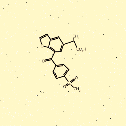 CC(C(=O)O)c1cc(C(=O)c2ccc(S(C)(=O)=O)cc2)c2occc2c1